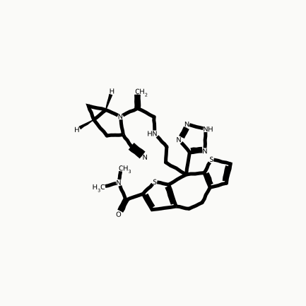 C=C(CNCCC1(c2nn[nH]n2)c2sccc2CCc2cc(C(=O)N(C)C)sc21)N1C(C#N)C[C@@H]2C[C@@H]21